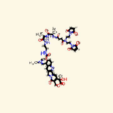 CC[C@@]1(O)C(=O)OCc2c1cc1n(c2=O)Cc2cc3c(CN(C)C)c(OC(=O)NCCNC(=O)[C@H](C)NC(=O)[C@H](C)NC(=O)CCC(=O)N(CCN4C(=O)C=CC4=O)CCN4C(=O)C=CC4=O)ccc3nc2-1